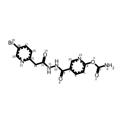 NC(=O)Oc1ccc(C(=O)NNC(=O)Cc2ccc(Br)cn2)cn1